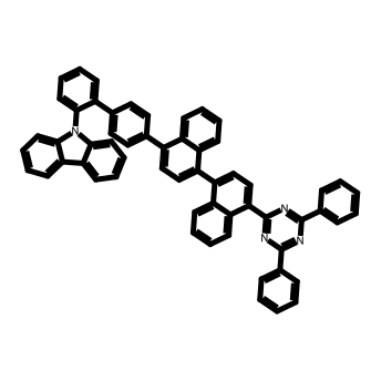 c1ccc(-c2nc(-c3ccccc3)nc(-c3ccc(-c4ccc(-c5ccc(-c6ccccc6-n6c7ccccc7c7ccccc76)cc5)c5ccccc45)c4ccccc34)n2)cc1